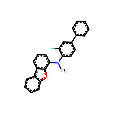 CN(c1ccc(-c2ccccc2)cc1F)c1cccc2c1oc1ccccc12